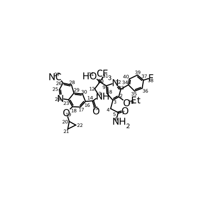 CCOc1c(CC(N)=O)cc([C@@](O)(CNC(=O)c2cc(OC3CC3)c3ncc(C#N)cc3c2)C(F)(F)F)nc1-c1ccc(F)cc1